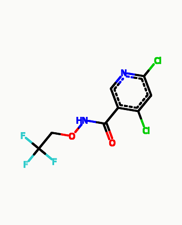 O=C(NOCC(F)(F)F)c1cnc(Cl)cc1Cl